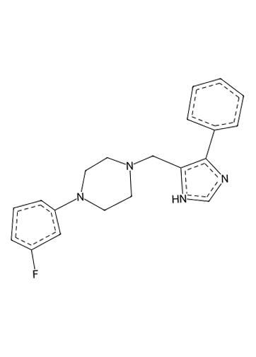 Fc1cccc(N2CCN(Cc3[nH]cnc3-c3ccccc3)CC2)c1